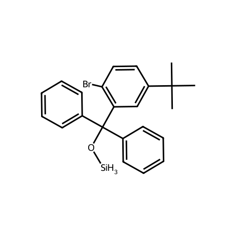 CC(C)(C)c1ccc(Br)c(C(O[SiH3])(c2ccccc2)c2ccccc2)c1